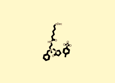 CCCCCCCCCCCCCCCC(=O)NCC[N+](C)(Cc1ccccc1)CN1CCCC1=O.Cc1ccc(S(=O)(=O)[O-])cc1